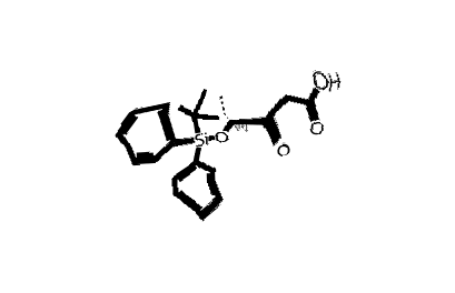 C[C@@H](O[Si](c1ccccc1)(c1ccccc1)C(C)(C)C)C(=O)CC(=O)O